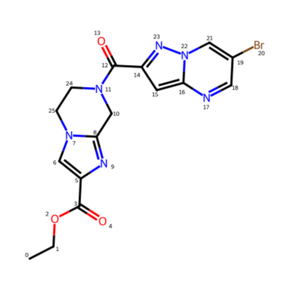 CCOC(=O)c1cn2c(n1)CN(C(=O)c1cc3ncc(Br)cn3n1)CC2